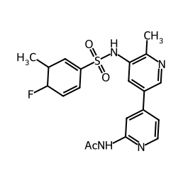 CC(=O)Nc1cc(-c2cnc(C)c(NS(=O)(=O)C3=CC(C)C(F)C=C3)c2)ccn1